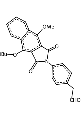 CCC(C)Oc1c2c(c(OC)c3ccccc13)C(=O)N(c1ccc(CC=O)cc1)C2=O